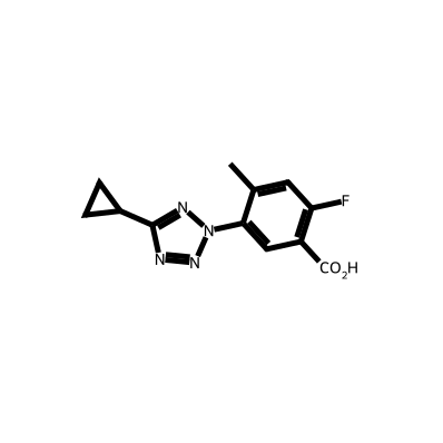 Cc1cc(F)c(C(=O)O)cc1-n1nnc(C2CC2)n1